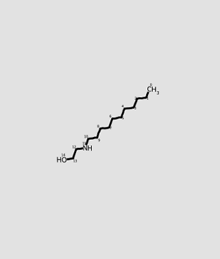 CCCCCCCCCCCNCCO